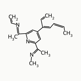 C=C/N=C(\C)c1cc(/C(C=C)=C/C=C\C)cc(/C(C)=N/C)n1